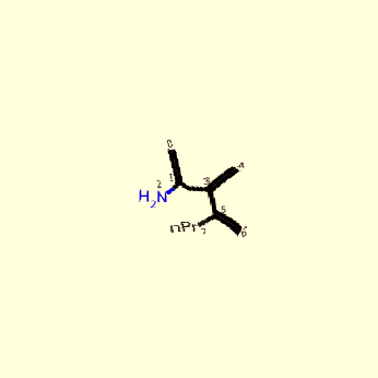 C=C(N)C(=C)C(=C)CCC